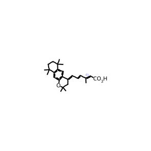 C/C(C=CC=C1CC(C)(C)Oc2cc3c(cc21)C(C)(C)CCC3(C)C)=C\C(=O)O